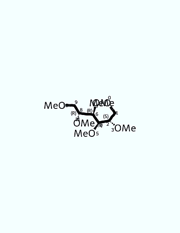 COC[C@H](OC)[C@@H](OC)[C@H](OC)[C@@H](COC)OC